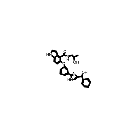 CC(O)CNC(=O)c1c(Oc2cccc(-c3nc(C(O)c4ccccc4)c[nH]3)c2)ccc2[nH]ccc12